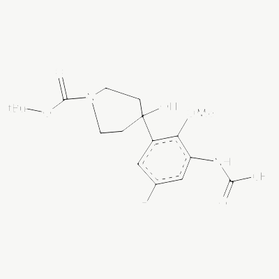 COc1c(NC(=O)C(F)(F)F)cc(F)cc1C1(O)CCN(C(=O)OC(C)(C)C)CC1